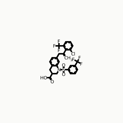 C=C(Cc1ccc2c(c1)N(S(=O)(=O)c1cccc(C(F)(F)F)c1)CC(C(=O)O)C2)c1c(Cl)cccc1C(F)(F)F